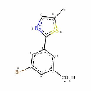 CCOC(=O)c1cc(Br)cc(-c2ncc(C)s2)c1